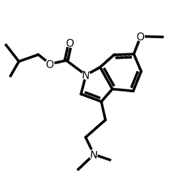 COc1ccc2c(CCN(C)C)cn(C(=O)OCC(C)C)c2c1